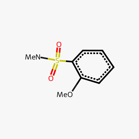 [CH2]NS(=O)(=O)c1ccccc1OC